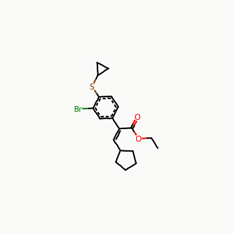 CCOC(=O)C(=CC1CCCC1)c1ccc(SC2CC2)c(Br)c1